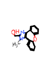 Cn1c(CO)nc2c1-c1ccccc1Oc1ccccc1-2